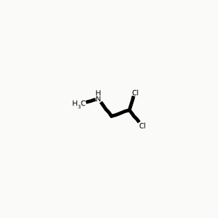 CNCC(Cl)Cl